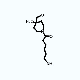 CC1(CO)CCN(C(=O)CCCCCN)CC1